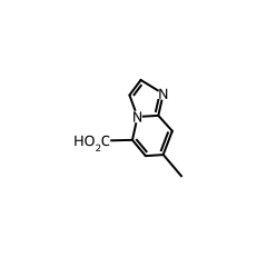 Cc1cc(C(=O)O)n2ccnc2c1